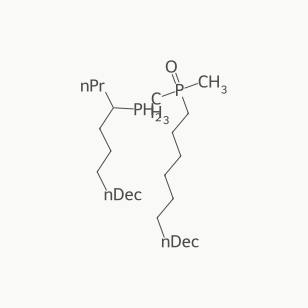 CCCCCCCCCCCCCC(P)CCC.CCCCCCCCCCCCCCCCP(C)(C)=O